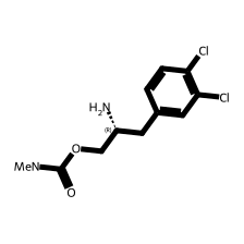 CNC(=O)OC[C@H](N)Cc1ccc(Cl)c(Cl)c1